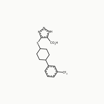 O=C(O)c1[nH]nnc1SC1CCC(c2cccc(C(F)(F)F)c2)CC1